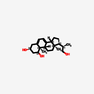 C[C@H](CO)[C@H]1CC[C@H]2C3=CC=C4C[C@@H](O)C[C@H](O)[C@]4(C)[C@H]3CC[C@]12C